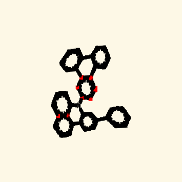 c1ccc(-c2ccc(-c3ccccc3)c(N(c3ccccc3)c3ccc(-c4ccccc4-c4ccccc4-c4ccccc4)cc3)c2)cc1